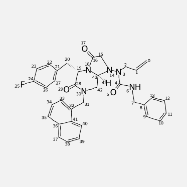 C=CCN(C(=O)NCc1ccccc1)N1CC(=O)N2[C@@H](Cc3ccc(F)cc3)C(=O)N(Cc3cccc4ccccc34)C[C@@H]21